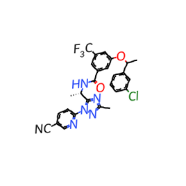 Cc1nc([C@H](C)NC(=O)c2cc(OC(C)c3cccc(Cl)c3)cc(C(F)(F)F)c2)n(-c2ccc(C#N)cn2)n1